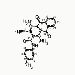 N#Cc1c(N)c2c(c(N)c1C(=O)Nc1ccc(N)cc1)C(=O)c1ccccc1C2=O